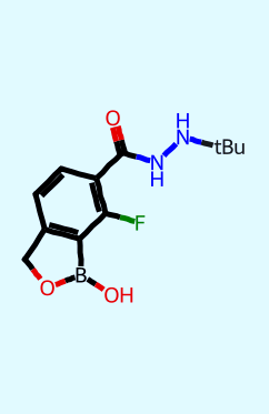 CC(C)(C)NNC(=O)c1ccc2c(c1F)B(O)OC2